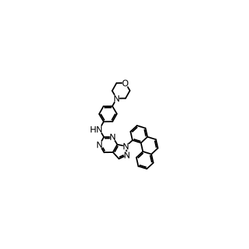 c1ccc2c(c1)ccc1cccc(-n3ncc4cnc(Nc5ccc(N6CCOCC6)cc5)nc43)c12